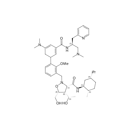 COc1c(CN2O[C@@H](CO)[C@@H]([C@H](C)O)[C@H]2C(=O)N[C@H]2C[C@H](C(C)C)CC[C@@H]2C)cccc1C1C=C(C(=O)N[C@@H](Cc2ccccn2)CN(C)C)C=C(N(C)C)C1